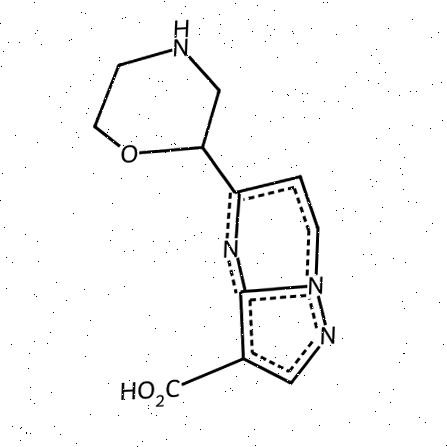 O=C(O)c1cnn2ccc(C3CNCCO3)nc12